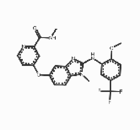 CNC(=O)c1cc(Oc2ccc3c(c2)nc(Nc2cc(C(F)(F)F)ccc2OC)n3C)ccn1